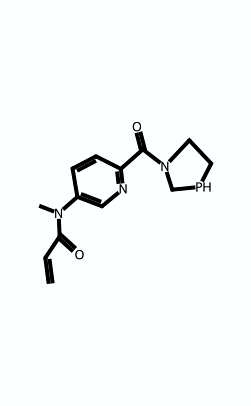 C=CC(=O)N(C)c1ccc(C(=O)N2CCPC2)nc1